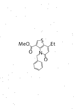 CCc1cc(=O)n(Cc2ccccc2)c2c(C(=O)OC)csc12